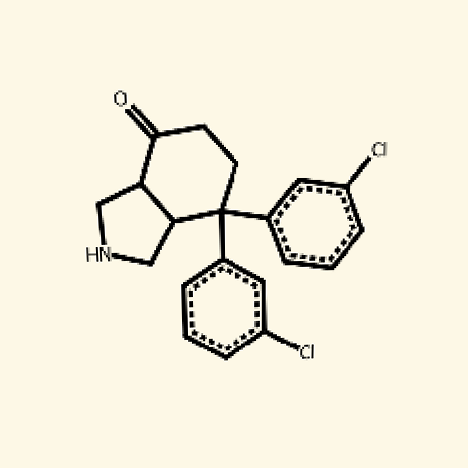 O=C1CCC(c2cccc(Cl)c2)(c2cccc(Cl)c2)C2CNCC12